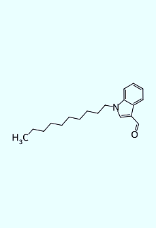 CCCCCCCCCCn1cc(C=O)c2ccccc21